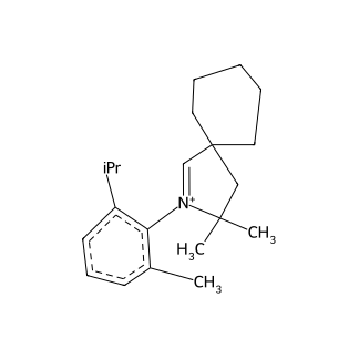 Cc1cccc(C(C)C)c1[N+]1=CC2(CCCCC2)CC1(C)C